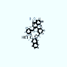 O=C(O)c1cc2ccccc2cc1OCc1cccc(-c2c(Cc3ccccc3)cnc3c(C(F)(F)F)cccc23)c1